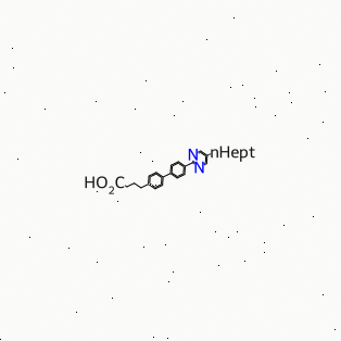 CCCCCCCc1cnc(-c2ccc(-c3ccc(CCCC(=O)O)cc3)cc2)nc1